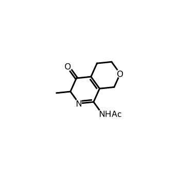 CC(=O)NC1=NC(C)C(=O)C2=C1COCC2